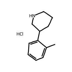 Cc1ccccc1C1CCCNC1.Cl